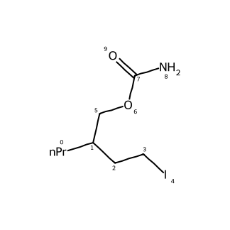 CCCC(CCI)COC(N)=O